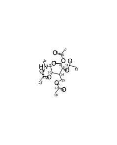 CNC1OC(OC(C)=O)C(OC(C)=O)C(COC(C)=O)C1OC(C)=O